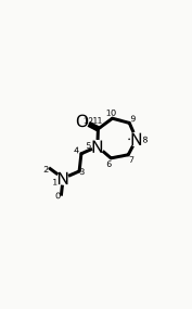 CN(C)CCN1CC[N]CCC1=O